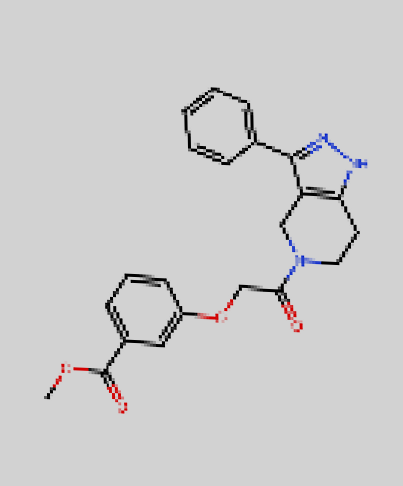 COC(=O)c1cccc(OCC(=O)N2CCc3[nH]nc(-c4ccccc4)c3C2)c1